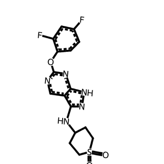 O=S1(=O)CCC(Nc2n[nH]c3nc(Oc4ccc(F)cc4F)ncc23)CC1